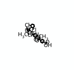 Cc1cc(OCc2c(-c3c(Cl)cccc3Cl)noc2C(C)C)cnc1N(C)C(=O)c1ccc(C(=O)O)cc1